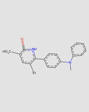 CCc1cc(C(=O)O)c(=O)[nH]c1-c1ccc(N(C)c2ccccc2)cc1